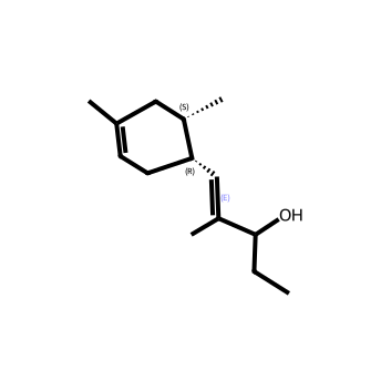 CCC(O)/C(C)=C/[C@@H]1CC=C(C)C[C@@H]1C